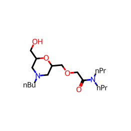 CCCCN1CC(CO)OC(COCC(=O)N(CCC)CCC)C1